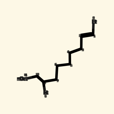 [CH2]C/C=C/CCCCCC(CC)CCCCCCCC[CH2]